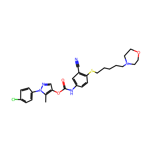 Cc1c(OC(=O)Nc2ccc(SCCCCCN3CCOCC3)c(C#N)c2)cnn1-c1ccc(Cl)cc1